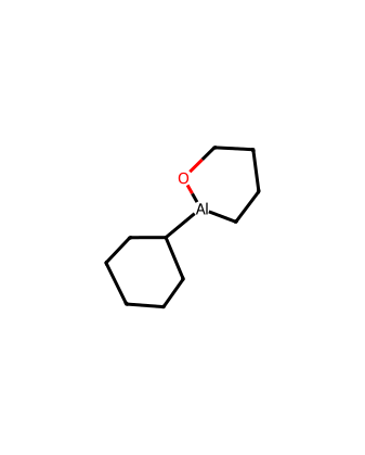 C1CC[CH]([Al]2[CH2]CCC[O]2)CC1